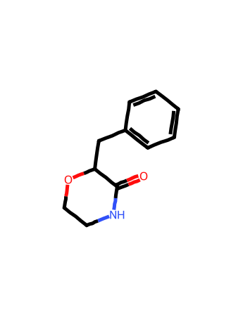 O=C1NCCOC1Cc1ccccc1